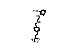 COc1ccccc1NCCNCc1ccc(CCC(=O)NO)cc1